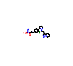 O=C(/C=C/c1ccc([C@@H]2CCCN2CCc2cnn3ccccc23)c(F)c1)NO